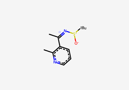 C/C(=N/[S+]([O-])C(C)(C)C)c1cccnc1C